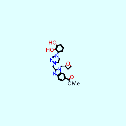 COC(=O)c1ccc2nc(CN3CCN(c4cccc(O)c4O)C=N3)n(C[C@@H]3CCO3)c2c1